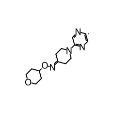 [c]1cnc(N2CCC(=NOC3CCOCC3)CC2)cn1